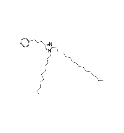 CCCCCCCCCCCCCCCc1nc(CCCc2ccccc2)cn1CCCCCCCCCCC